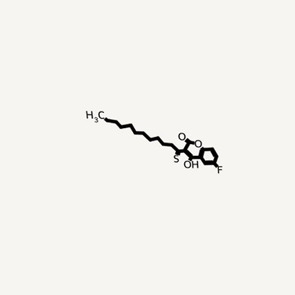 CCCCCCCCCCCC(=S)c1c(O)c2cc(F)ccc2oc1=O